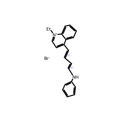 CC[n+]1ccc(/C=C/C=C/Nc2ccccc2)c2ccccc21.[Br-]